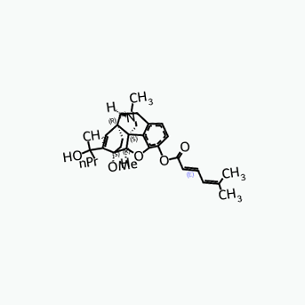 CCCC(C)(O)C1=C[C@]23CC[C@@]1(OC)[C@@H]1Oc4c(OC(=O)/C=C/C=C(C)C)ccc5c4[C@@]12CCN(C)[C@@H]3C5